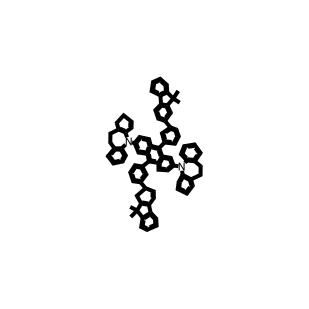 CC1(C)C2=C(C=CC(c3cccc(-c4c5ccc(N6c7ccccc7CCc7ccccc76)cc5c(-c5cccc(-c6ccc7c(c6)C(C)(C)c6ccccc6-7)c5)c5ccc(N6C7=C(CCC=C7)CCc7ccccc76)cc45)c3)C2)c2ccccc21